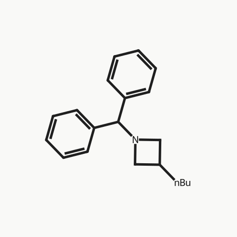 CCCCC1CN(C(c2ccccc2)c2ccccc2)C1